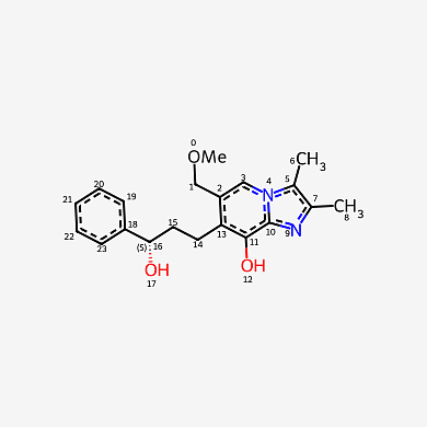 COCc1cn2c(C)c(C)nc2c(O)c1CC[C@H](O)c1ccccc1